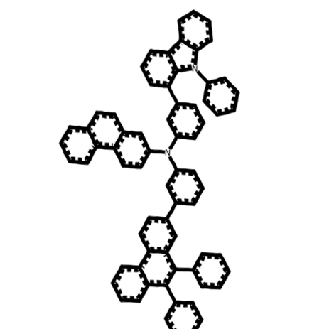 c1ccc(-c2c(-c3ccccc3)c3cc(-c4cccc(N(c5cccc(-c6cccc7c8ccccc8n(-c8ccccc8)c67)c5)c5ccc6c(ccc7ccccc76)c5)c4)ccc3c3ccccc23)cc1